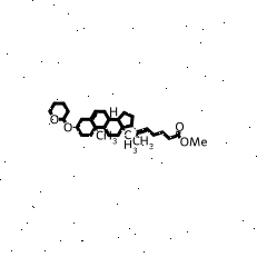 COC(=O)CCC/C=C(\C)[C@H]1CCC2[C@@H]3CC=C4C[C@@H](OC5CCCCO5)CC[C@]4(C)C3CC[C@@]21C